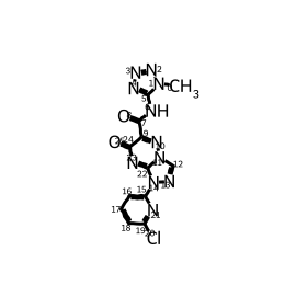 Cn1nnnc1NC(=O)c1nn2cnn(-c3cccc(Cl)n3)c2nc1=O